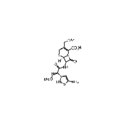 CON=C(C(=O)N[C@@H]1C(=O)N2C(C(=O)O)=C(COC(C)=O)CS[C@H]12)N1C=C(N)SN1